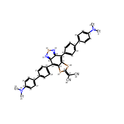 CCN(CC)c1ccc(-c2ccc(-c3c4c(c(-c5ccc(-c6ccc(N(CC)CC)cc6)cc5)c5nsnc35)SC(=C(C#N)C#N)S4)cc2)cc1